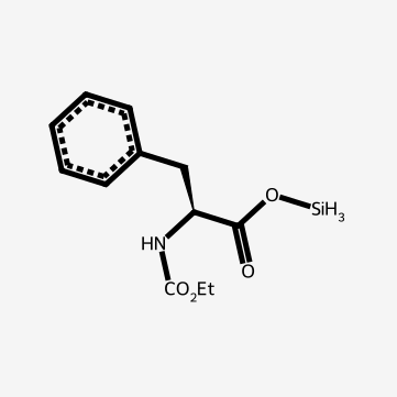 CCOC(=O)N[C@@H](Cc1ccccc1)C(=O)O[SiH3]